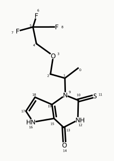 CC(COCC(F)(F)F)n1c(=S)[nH]c(=O)c2[nH]ccc21